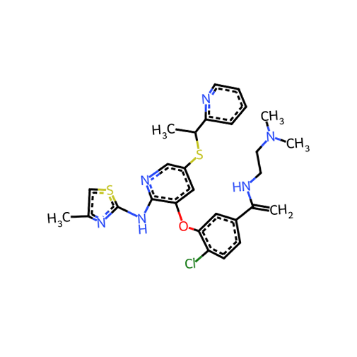 C=C(NCCN(C)C)c1ccc(Cl)c(Oc2cc(SC(C)c3ccccn3)cnc2Nc2nc(C)cs2)c1